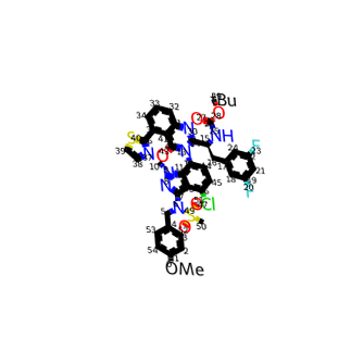 COc1ccc(CN(c2nn(C)c3c(-n4c([C@H](Cc5cc(F)cc(F)c5)NC(=O)OC(C)(C)C)nc5cccc(-c6nccs6)c5c4=O)ccc(Cl)c23)S(C)(=O)=O)cc1